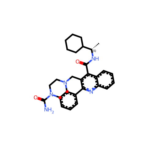 C[C@H](NC(=O)c1c(CN2CCN(C(N)=O)CC2)c(-c2ccccc2)nc2ccccc12)C1CCCCC1